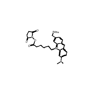 CNCc1ccc2cc3ccc(N(C)C)cc3[n+](CCCCCC(=O)ON3C(=O)CCC3=O)c2c1